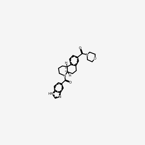 O=C(c1ccc2c(c1)CC[C@H]1[C@@H]2CCCN1C(=O)c1ccc2[nH]cnc2c1)N1CCOCC1